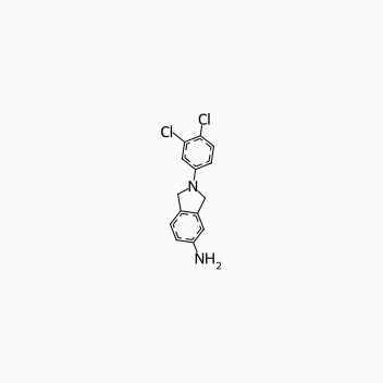 Nc1ccc2c(c1)CN(c1ccc(Cl)c(Cl)c1)C2